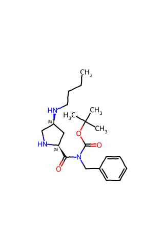 CCCCN[C@@H]1CN[C@H](C(=O)N(Cc2ccccc2)C(=O)OC(C)(C)C)C1